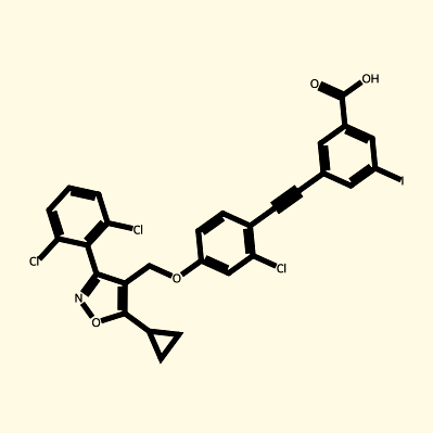 O=C(O)c1cc(I)cc(C#Cc2ccc(OCc3c(-c4c(Cl)cccc4Cl)noc3C3CC3)cc2Cl)c1